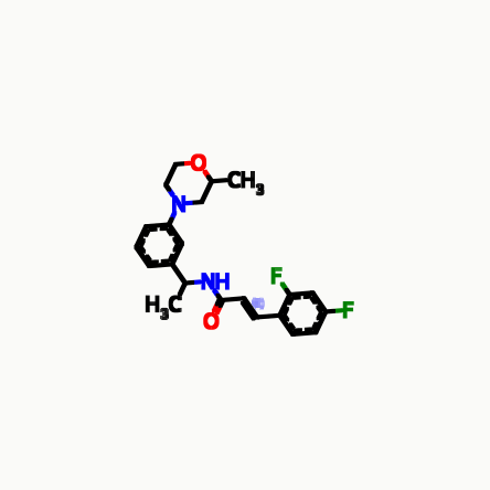 CC1CN(c2cccc(C(C)NC(=O)/C=C/c3ccc(F)cc3F)c2)CCO1